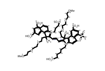 COCCOCCOCCC1(C)C(/C=C/C=C2/N(CCCCCC(=O)O)c3ccc4c(S(=O)(=O)[O-])cc(S(=O)(=O)O)cc4c3C2(C)CCOCCOCCOC)=[N+](CCCS(=O)(=O)O)c2ccc3c(S(=O)(=O)O)cc(S(=O)(=O)O)cc3c21